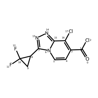 O=C(Cl)c1ccn2c(C3CC3(F)F)nnc2c1Cl